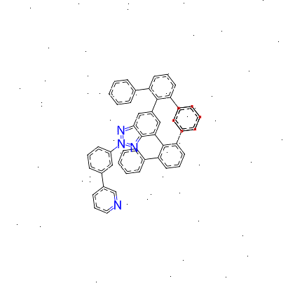 c1ccc(-c2cccc(-c3ccccc3)c2-c2cc(-c3c(-c4ccccc4)cccc3-c3ccccc3)c3nn(-c4cccc(-c5cccnc5)c4)nc3c2)cc1